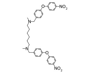 CN(CCCCCCN(C)Cc1ccc(Oc2ccc([N+](=O)[O-])cc2)cc1)Cc1ccc(Oc2ccc([N+](=O)[O-])cc2)cc1